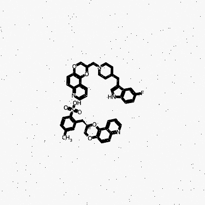 Cc1ccc(S(=O)(=O)O)c(C[C@@H]2COc3ccc4ncccc4c3O2)c1.Fc1ccc2[nH]cc(CC3CCN(CC4COc5ccc6ncccc6c5O4)CC3)c2c1